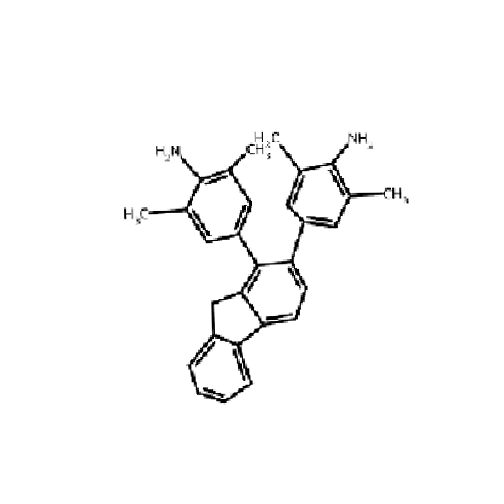 Cc1cc(-c2ccc3c(c2-c2cc(C)c(N)c(C)c2)Cc2ccccc2-3)cc(C)c1N